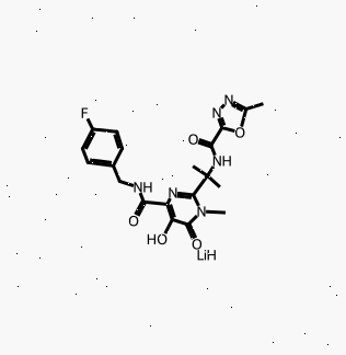 Cc1nnc(C(=O)NC(C)(C)c2nc(C(=O)NCc3ccc(F)cc3)c(O)c(=O)n2C)o1.[LiH]